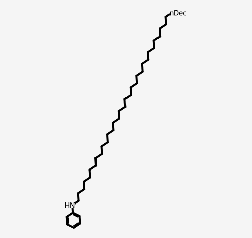 CCCCCCCCCCCCCCCCCCCCCCCCCCCCCCCCCCCCCCCCCCNc1ccccc1